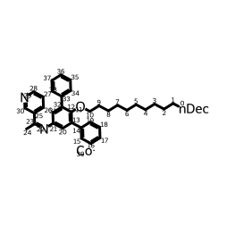 CCCCCCCCCCCCCCCCCCCCOc1c(-c2ccccc2)cc(N=C(C)c2cccnc2)cc1-c1ccccc1.[Co]